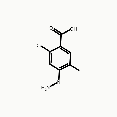 NNc1cc(Cl)c(C(=O)O)cc1I